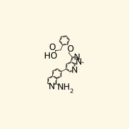 Cn1nc(COc2ccccc2CC(=O)O)c2cc(-c3ccc4ccnc(N)c4c3)cnc21